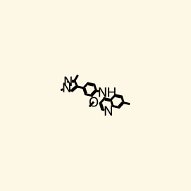 COc1cc(-c2cn(C)nc2C)ccc1Nc1ccnc2cc(C)ccc12